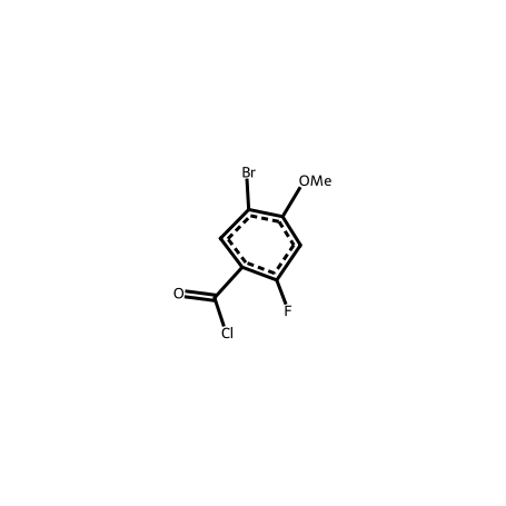 COc1cc(F)c(C(=O)Cl)cc1Br